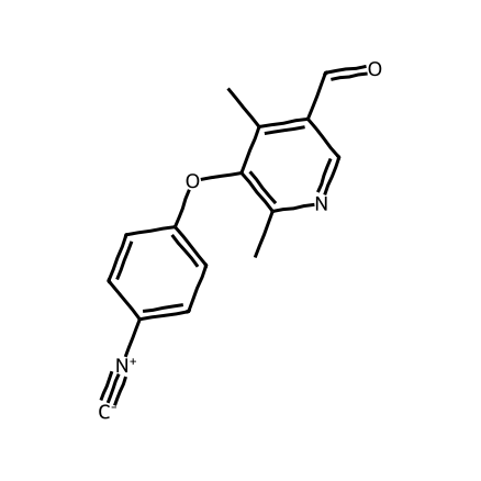 [C-]#[N+]c1ccc(Oc2c(C)ncc(C=O)c2C)cc1